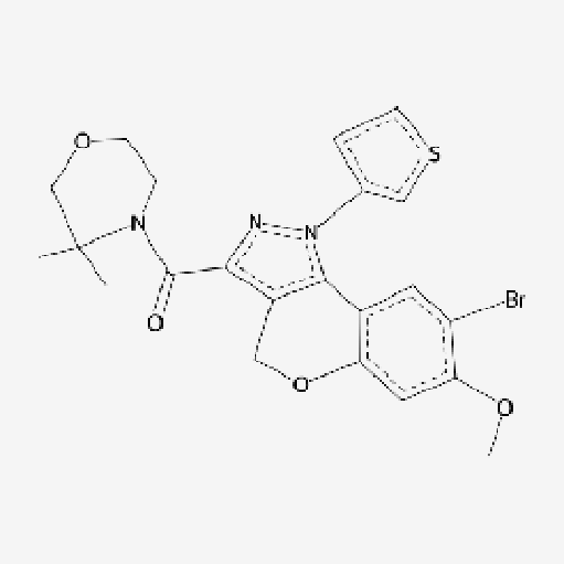 COc1cc2c(cc1Br)-c1c(c(C(=O)N3CCOCC3(C)C)nn1-c1ccsc1)CO2